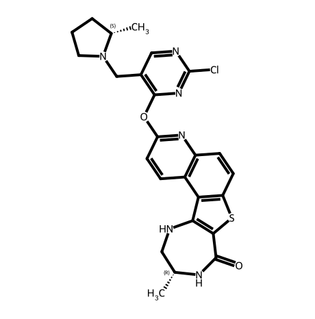 C[C@@H]1CNc2c(sc3ccc4nc(Oc5nc(Cl)ncc5CN5CCC[C@@H]5C)ccc4c23)C(=O)N1